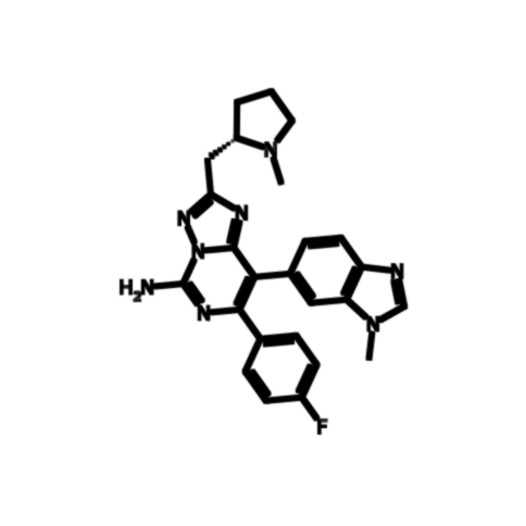 CN1CCC[C@H]1Cc1nc2c(-c3ccc4ncn(C)c4c3)c(-c3ccc(F)cc3)nc(N)n2n1